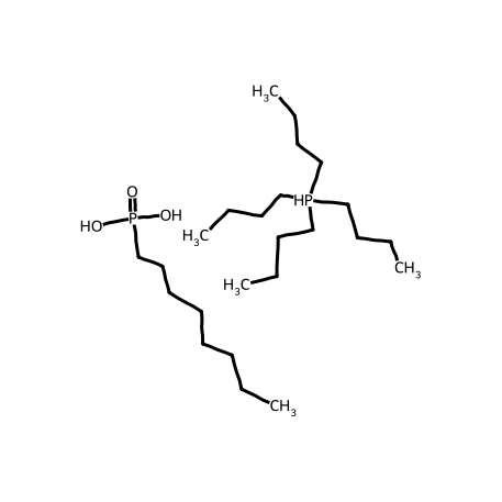 CCCCCCCCP(=O)(O)O.CCCC[PH](CCCC)(CCCC)CCCC